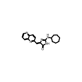 O=C1NC(NC2CCCCCC2)=N/C1=C\c1ccc2ncccc2n1